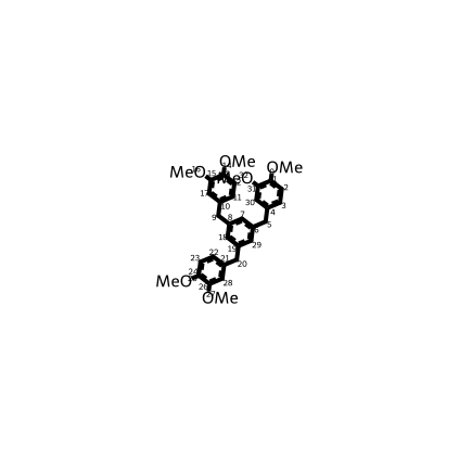 COc1ccc(Cc2cc(Cc3ccc(OC)c(OC)c3)cc(Cc3ccc(OC)c(OC)c3)c2)cc1OC